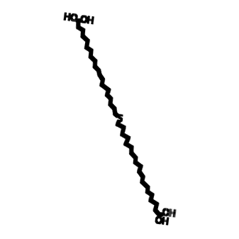 OC(O)CCCCCCCCCCCCCCCCCCCSCCCCCCCCCCCCCCCCCCCC(O)O